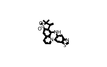 C=C1c2c(cc3cccnc3c2Nc2ccc3scnc3c2)S(=O)(=O)C1(C)C